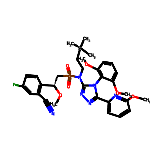 COc1cccc(-c2nnc(N(CC[Si](C)(C)C)S(=O)(=O)C[C@H](OC)c3ccc(F)cc3C#N)n2-c2c(OC)cccc2OC)n1